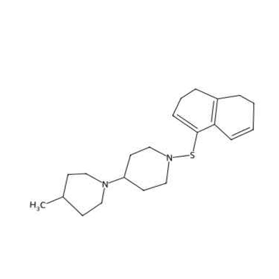 CC1CCN(C2CCN(SC3=CCCC4=C3C=CCC4)CC2)CC1